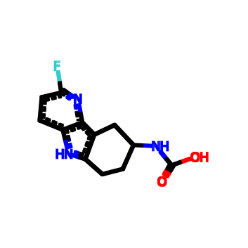 O=C(O)NC1CCc2[nH]c3ccc(F)nc3c2C1